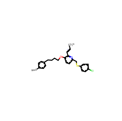 COc1ccc(CCCCOc2ccc(CSc3ccc(Cl)cc3)nc2/C=C/C(=O)O)cc1